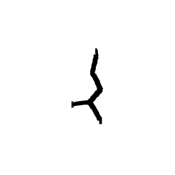 ICCC(I)I